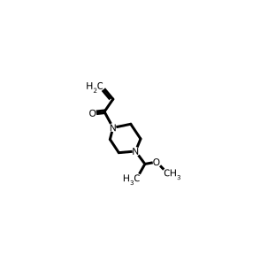 C=CC(=O)N1CCN(C(C)OC)CC1